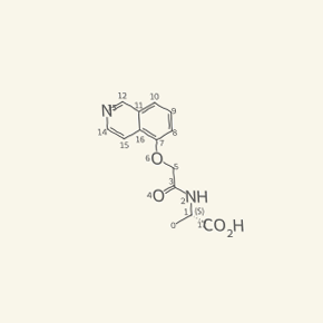 C[C@H](NC(=O)COc1cccc2cnccc12)C(=O)O